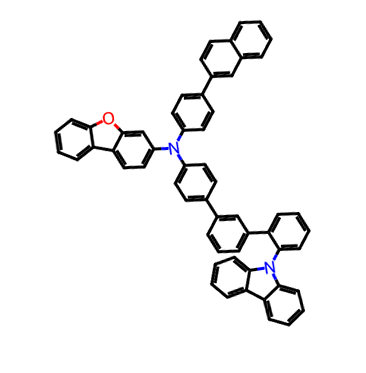 c1cc(-c2ccc(N(c3ccc(-c4ccc5ccccc5c4)cc3)c3ccc4c(c3)oc3ccccc34)cc2)cc(-c2ccccc2-n2c3ccccc3c3ccccc32)c1